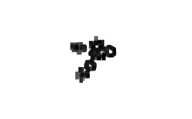 Cc1nc(N2CCCCC2)c2[nH]c(-c3ccc(SC(F)(F)F)cc3)cc2n1.Cl.O